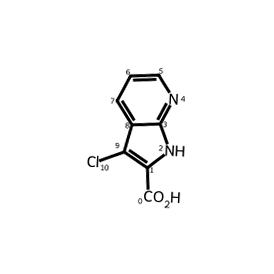 O=C(O)c1[nH]c2ncccc2c1Cl